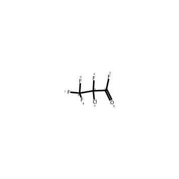 O=C(F)C(F)(Cl)C(F)(F)F